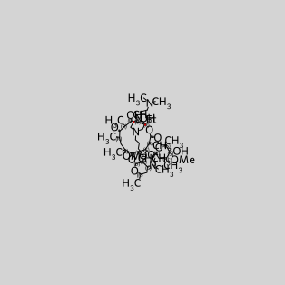 CC[C@H]1OC(=O)[C@H](C)[C@@H](O[C@H]2C[C@@](C)(OC)[C@@H](O)[C@H](C)O2)[C@H](C)[C@@H](O[C@@H]2O[C@H](C)C[C@H](N(C)C)[C@H]2OCCCN2CCN(CCN(C)C)CC2)[C@@](C)(OC)C[C@@H](C)C(=O)[C@H](C)[C@@H](O)[C@]1(C)O